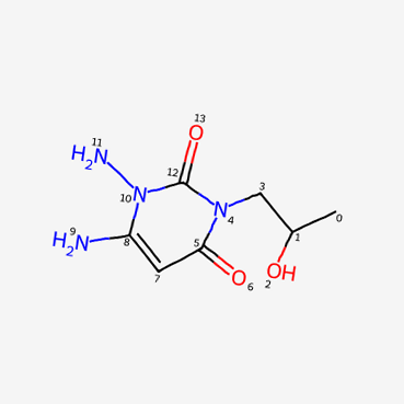 CC(O)Cn1c(=O)cc(N)n(N)c1=O